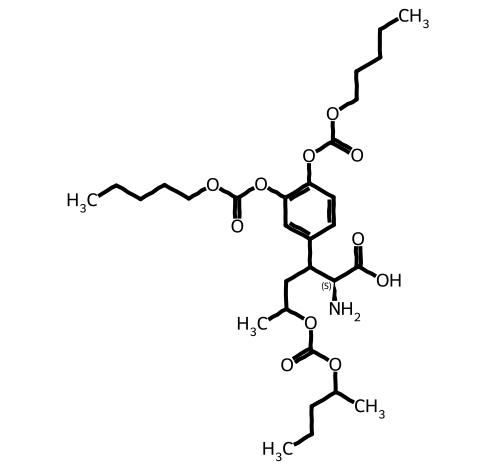 CCCCCOC(=O)Oc1ccc(C(CC(C)OC(=O)OC(C)CCC)[C@H](N)C(=O)O)cc1OC(=O)OCCCCC